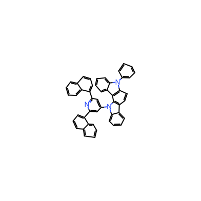 c1ccc(-n2c3ccccc3c3c2ccc2c4ccccc4n(-c4cc(-c5cccc6ccccc56)nc(-c5cccc6ccccc56)c4)c23)cc1